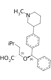 CC(C)C[C@H](O[C@H](c1ccccc1)c1ccc(C2CCCN(C)C2)cc1)C(=O)O